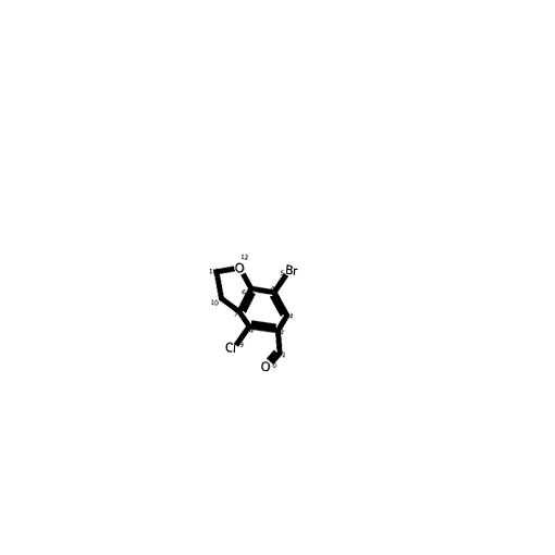 O=Cc1cc(Br)c2c(c1Cl)CCO2